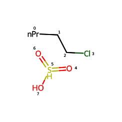 CCCCCCl.O=[SH](=O)O